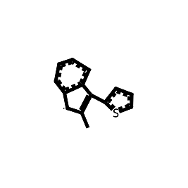 CC1=C(c2cccs2)c2ccccc2[CH]1